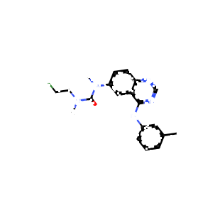 Cc1cccc(Nc2ncnc3ccc(N(C)C(=O)N(CCCl)N=O)cc23)c1